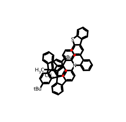 CC(C)(C)c1ccc2c(c1)C1(c3ccccc3-c3ccc(N(c4ccccc4-c4ccc5sc6ccccc6c5c4)c4ccccc4-c4cccc5c4-c4ccccc4C5(C)C)cc31)c1cc(C(C)(C)C)ccc1-2